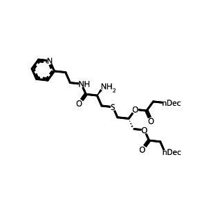 CCCCCCCCCCCC(=O)OC[C@H](CSC[C@H](N)C(=O)NCCc1ccccn1)OC(=O)CCCCCCCCCCC